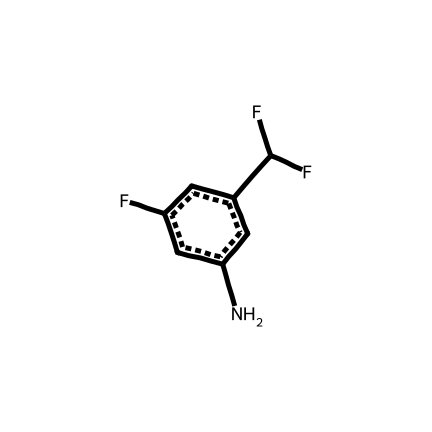 Nc1cc(F)cc(C(F)F)c1